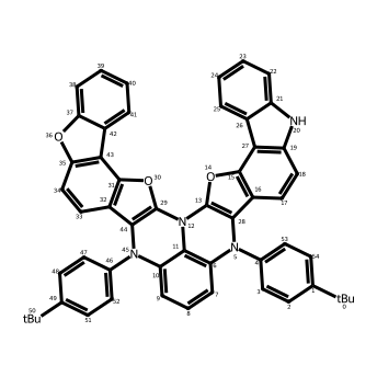 CC(C)(C)c1ccc(N2c3cccc4c3N(c3oc5c(ccc6[nH]c7ccccc7c65)c32)c2oc3c(ccc5oc6ccccc6c53)c2N4c2ccc(C(C)(C)C)cc2)cc1